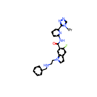 CC(C)n1cnnc1-c1cccc(NC(=O)c2cc3c(ccn3CCNCc3ccccc3)cc2F)n1